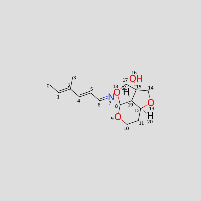 C/C=C(C)/C=C/C=N/[C@]12OCC[C@@H]3OC[C@](O)(CO1)[C@@H]32